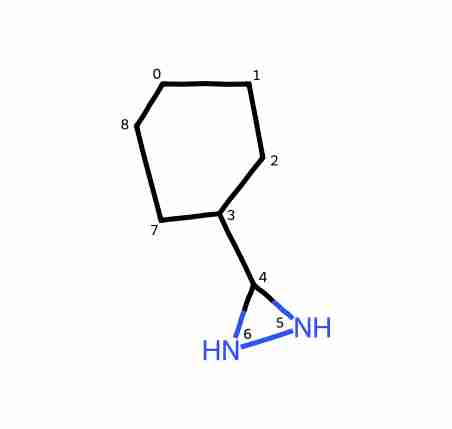 C1CCC(C2NN2)CC1